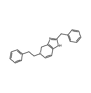 C1=CN(CCc2ccccc2)Cc2nc(Cc3ccccc3)[nH]c21